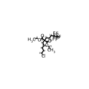 CCOC(=O)C(CCCCCCl)(CCCC(F)(F)C(F)(F)F)C(=O)OCC